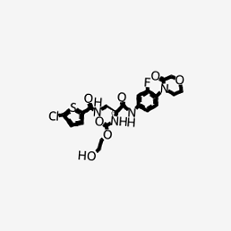 O=C(N[C@@H](CNC(=O)c1ccc(Cl)s1)C(=O)Nc1ccc(N2CCOCC2=O)c(F)c1)OCCO